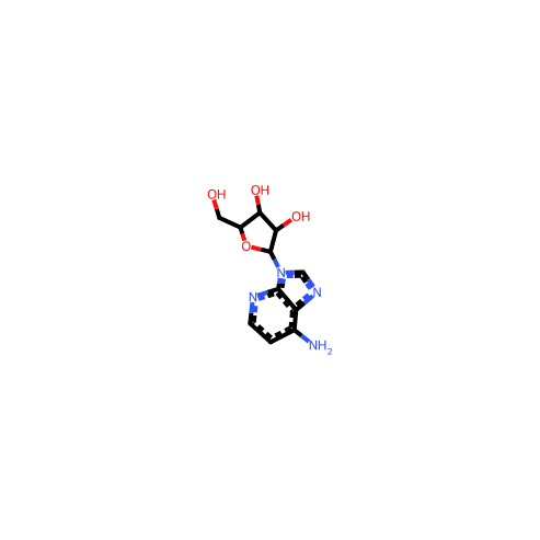 Nc1ccnc2c1ncn2C1OC(CO)C(O)C1O